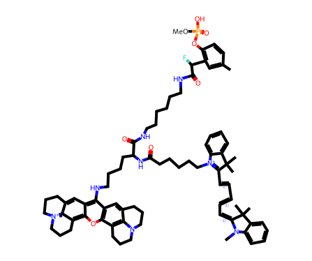 COP(=O)(O)Oc1ccc(C)cc1C(F)C(=O)NCCCCCCNC(=O)C(CCCCNC1=c2cc3c4c(c2Oc2c1cc1c5c2CCCN5CCC1)CCC[N+]=4CCC3)NC(=O)CCCCC[N+]1=C(/C=C/C=C/C=C2/N(C)c3ccccc3C2(C)C)C(C)(C)c2ccccc21